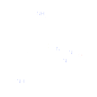 Nc1ccc(-c2ccc(N)cc2)cc1.c1cnsc1.c1conn1